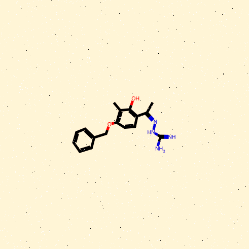 C/C(=N/NC(=N)N)c1ccc(OCc2ccccc2)c(C)c1O